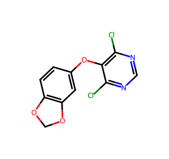 Clc1ncnc(Cl)c1Oc1ccc2c(c1)OCO2